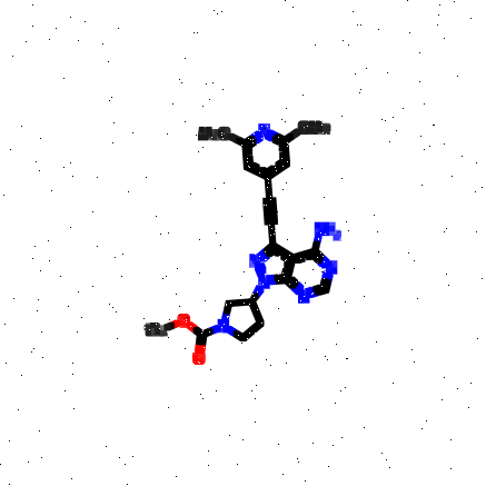 COc1cc(C#Cc2nn([C@H]3CCN(C(=O)OC(C)(C)C)C3)c3ncnc(N)c23)cc(OC)n1